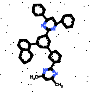 Cc1cc(C)nc(-c2cccc(-c3cc(-c4nc(-c5ccccc5)cc(-c5ccccc5)n4)cc(-c4cccc5ccccc45)c3)c2)n1